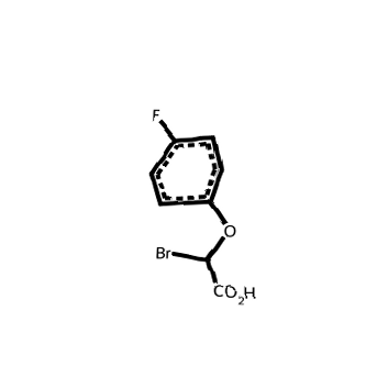 O=C(O)C(Br)Oc1ccc(F)cc1